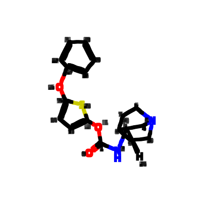 O=C(N[C@H]1CN2CCC1CC2)Oc1ccc(Oc2ccccc2)s1